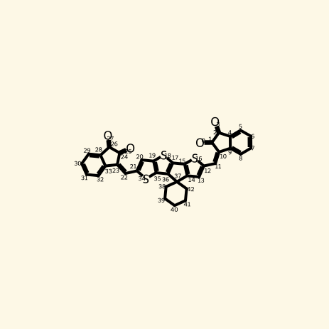 O=C1C(=O)c2ccccc2/C1=C/c1cc2c(s1)-c1sc3cc(/C=C4\C(=O)C(=O)c5ccccc54)sc3c1C21CCCCC1